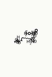 NC(=O)[C@@H]1C[C@@H](Oc2nc(-c3ccc(C(F)(F)F)cc3)nc3c2oc2ccccc23)CN1C(=O)CCCCCC/C=C\C1C[C@@H]1C(=O)NS(=O)(=O)C1CC1